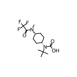 CN(C(=O)C(F)(F)F)[C@H]1CC[C@H](N(C(=O)O)C(C)(C)C)CC1